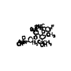 Cc1cc(F)cc(C)c1Oc1ccc(C(C)(C)O)cc1-c1cn(C)c(=O)cc1O[C@H]1CC[C@H](NC(=O)C2(C#N)CC2)CC1